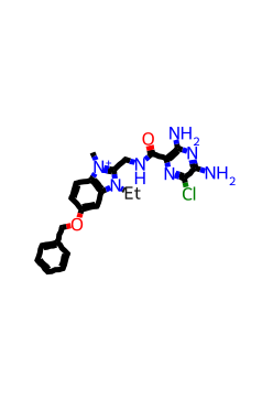 CCn1c(CNC(=O)c2nc(Cl)c(N)nc2N)[n+](C)c2ccc(OCc3ccccc3)cc21